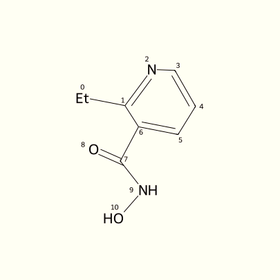 CCc1ncccc1C(=O)NO